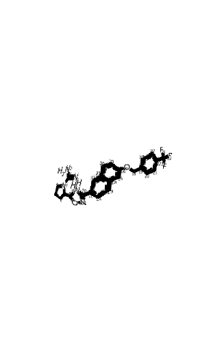 N=C(N)N1CCCC1C1NC(c2ccc3cc(OCc4ccc(C(F)(F)F)cc4)ccc3c2)=NO1